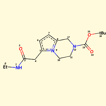 CCNC(=O)Cc1ccc2n1CCN(C(=O)OC(C)(C)C)C2